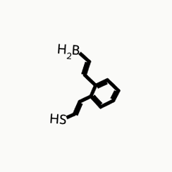 B/C=C/c1ccccc1/C=C/S